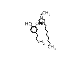 C=CN1C=CN(CCCCCCCC)C1.NCCc1ccc(O)c(O)c1